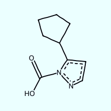 O=C(O)n1nccc1C1CCCC1